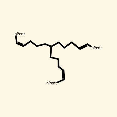 CCCCCC=CCCCC([CH]CC/C=C\CCCCC)CCC/C=C\CCCCC